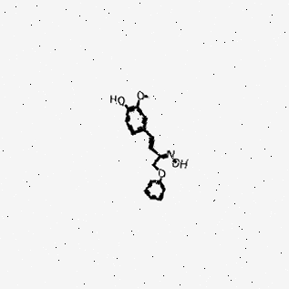 COc1cc(/C=C/C(COc2ccccc2)=NO)ccc1O